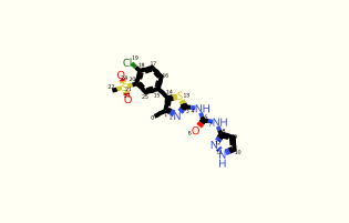 Cc1nc(NC(=O)Nc2cc[nH]n2)sc1-c1ccc(Cl)c(S(C)(=O)=O)c1